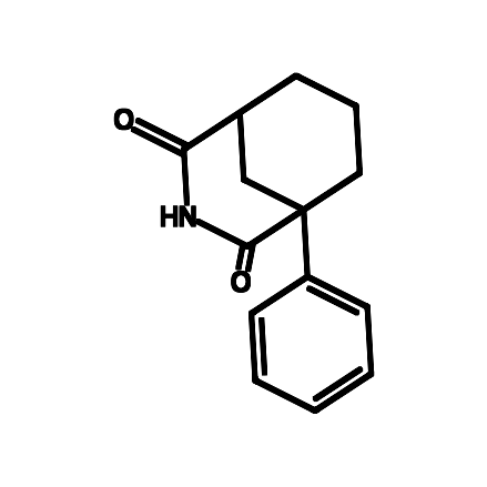 O=C1NC(=O)C2(c3ccccc3)CCCC1C2